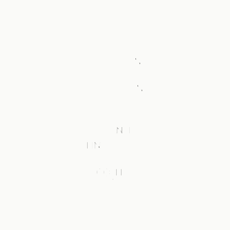 O=C(O)NNc1cccnn1